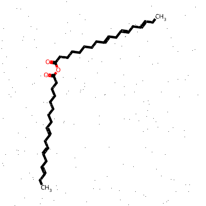 CCC=CCC=CCC=CCCCCCCCC(=O)OC(=O)CCCCCCCC=CCC=CCC=CCC